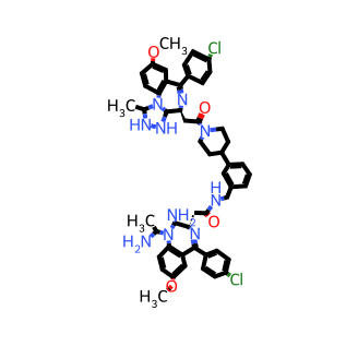 COc1ccc2c(c1)C(c1ccc(Cl)cc1)=N[C@@H](CC(=O)NCc1cccc(C3CCN(C(=O)C[C@@H]4N=C(c5ccc(Cl)cc5)c5cc(OC)ccc5N5C(C)NNC45)CC3)c1)C(N)N2C(C)N